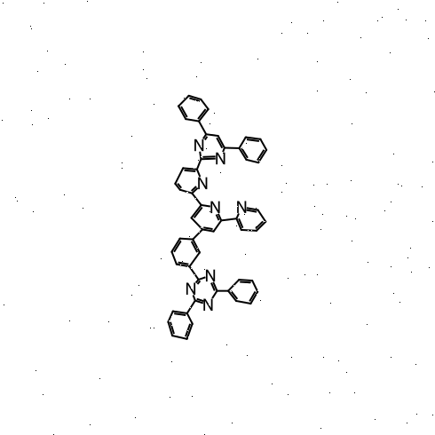 c1ccc(-c2cc(-c3ccccc3)nc(-c3cccc(-c4cc(-c5cccc(-c6nc(-c7ccccc7)nc(-c7ccccc7)n6)c5)cc(-c5ccccn5)n4)n3)n2)cc1